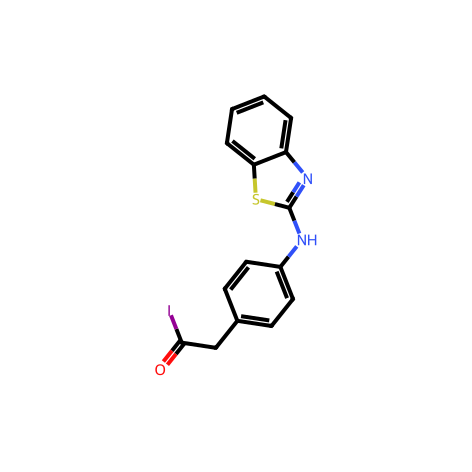 O=C(I)Cc1ccc(Nc2nc3ccccc3s2)cc1